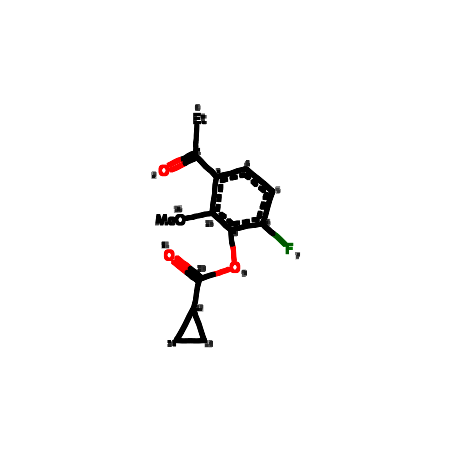 CCC(=O)c1ccc(F)c(OC(=O)C2CC2)c1OC